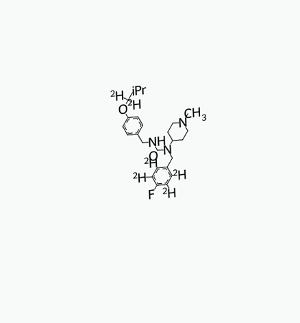 [2H]c1c([2H])c(CN(C(=O)NCc2ccc(OC([2H])([2H])C(C)C)cc2)C2CCN(C)CC2)c([2H])c([2H])c1F